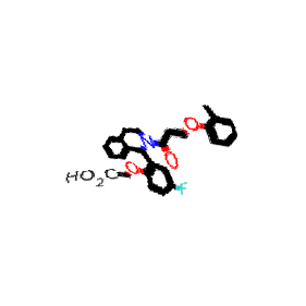 Cc1ccccc1OCCC(=O)N1CCc2ccccc2C1c1cc(F)ccc1OCC(=O)O